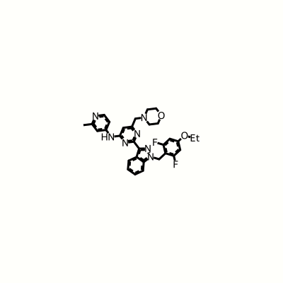 CCOc1cc(F)c(Cn2nc(-c3nc(CN4CCOCC4)cc(Nc4ccnc(C)c4)n3)c3ccccc32)c(F)c1